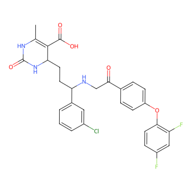 CC1=C(C(=O)O)C(CCC(NCC(=O)c2ccc(Oc3ccc(F)cc3F)cc2)c2cccc(Cl)c2)NC(=O)N1